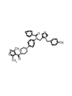 Cc1noc(C)c1C(=O)N1CCN(c2ccc(N(Cc3cncn3Cc3ccc(C#N)cc3)C(=O)c3ccccc3)cc2)CC1